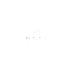 CC[C@@H]1[C@H](F)C(=O)N[C@@H]1COc1ncc(C#CC2CCOCC2)c2cc(C(N)=O)c(OC)cc12